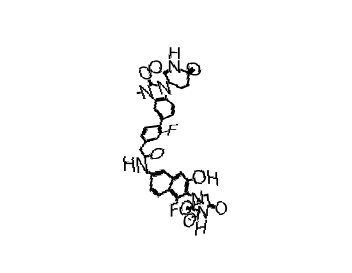 Cn1c(=O)n(C2CCC(=O)NC2=O)c2ccc(-c3ccc(CC(=O)Nc4ccc5c(F)c(N6CC(=O)NS6(=O)=O)c(O)cc5c4)cc3F)cc21